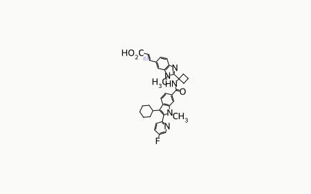 Cn1c(C2(NC(=O)c3ccc4c(C5CCCCC5)c(-c5ccc(F)cn5)n(C)c4c3)CCC2)nc2ccc(/C=C/C(=O)O)cc21